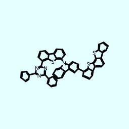 c1ccc(-c2nc(-c3ccccc3)nc(-c3cccc4c3sc3c(-n5c6ccccc6c6cc(-c7cccc8c7sc7c8ccc8c9ccccc9sc87)ccc65)cccc34)n2)cc1